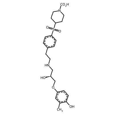 Cc1cc(OC[C@@H](O)CNCCc2ccc(S(=O)(=O)C3CCN(C(=O)O)CC3)cc2)ccc1O